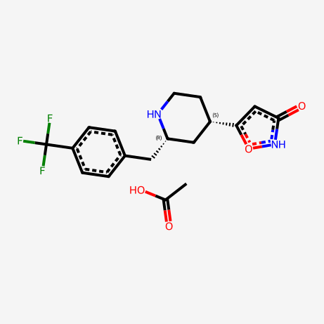 CC(=O)O.O=c1cc([C@H]2CCN[C@@H](Cc3ccc(C(F)(F)F)cc3)C2)o[nH]1